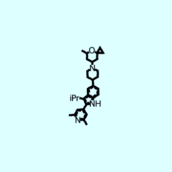 Cc1cc(-c2[nH]c3ccc(C4CCN(C5CC(C)OC6(CC6)C5)CC4)cc3c2C(C)C)cc(C)n1